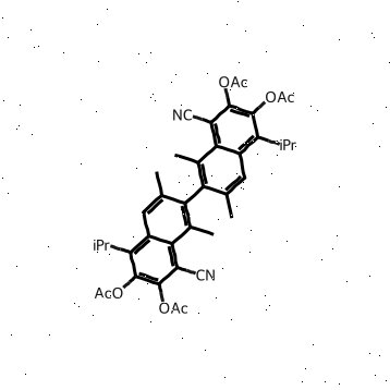 CC(=O)Oc1c(OC(C)=O)c(C#N)c2c(C)c(-c3c(C)cc4c(C(C)C)c(OC(C)=O)c(OC(C)=O)c(C#N)c4c3C)c(C)cc2c1C(C)C